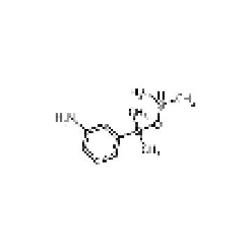 C[SiH](C)O[Si](C)(C)c1cccc(N)c1